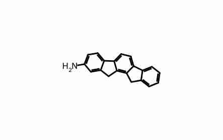 Nc1ccc2c(c1)Cc1c-2ccc2c1Cc1ccccc1-2